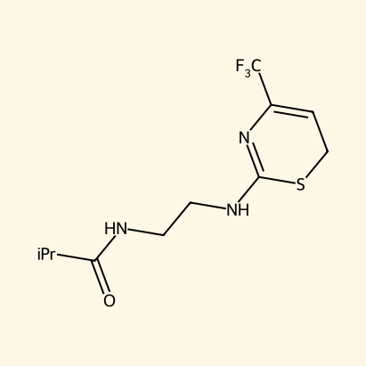 CC(C)C(=O)NCCNC1=NC(C(F)(F)F)=CCS1